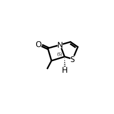 CC1C(=O)N2C=CS[C@@H]12